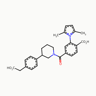 Cc1ccc(C)n1-c1cc(C(=O)N2CCCC(c3ccc(CC(=O)O)cc3)C2)ccc1C(=O)O